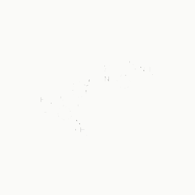 C=Nc1ccc(C(F)(F)F)cc1Oc1cc([C@H]2CC(=O)N(c3cccc(C(N)=O)c3)C2)ccc1Cl